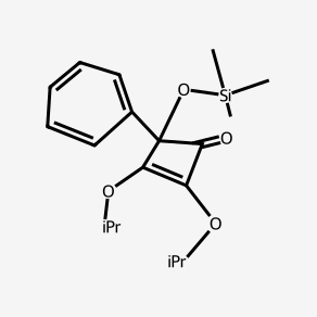 CC(C)OC1=C(OC(C)C)C(O[Si](C)(C)C)(c2ccccc2)C1=O